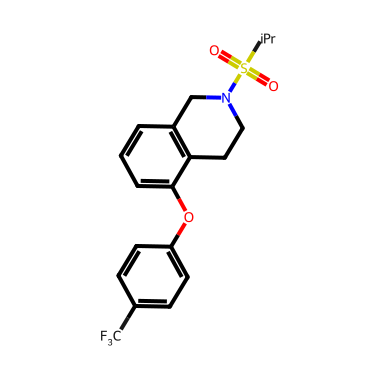 CC(C)S(=O)(=O)N1CCc2c(cccc2Oc2ccc(C(F)(F)F)cc2)C1